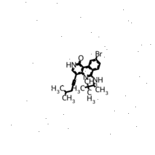 CC(C)CC#Cc1c[nH]c(=O)c2c1nc(NC(C)C(C)(C)C)c1ccc(Br)cc12